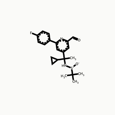 CC(N[S+]([O-])C(C)(C)C)(c1cc(C=O)nc(-c2ccc(F)cc2)c1)C1CC1